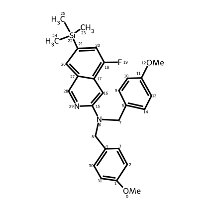 COc1ccc(CN(Cc2ccc(OC)cc2)c2cc3c(F)cc([Si](C)(C)C)cc3cn2)cc1